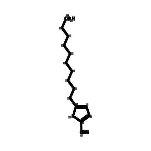 O=Cc1ccc(CCCCCCCCCC(=O)O)s1